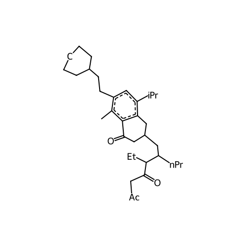 CCCC(CC1CC(=O)c2c(C)c(CCC3CCCCC3)cc(C(C)C)c2C1)C(CC)C(=O)CC(C)=O